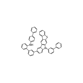 c1ccc(-c2ccc(Nc3ccccc3-c3cccc(-c4ccc5c(c4)c4cc6c(cc4n5-c4cccc(-c5ccccc5)c4)sc4ccccc46)c3)cc2)cc1